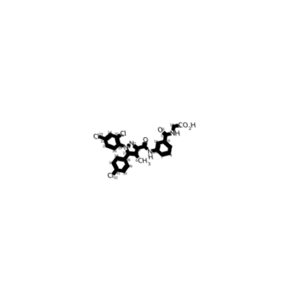 Cc1c(C(=O)Nc2cccc(C(=O)NCC(=O)O)c2)nn(-c2ccc(Cl)cc2Cl)c1-c1ccc(Cl)cc1